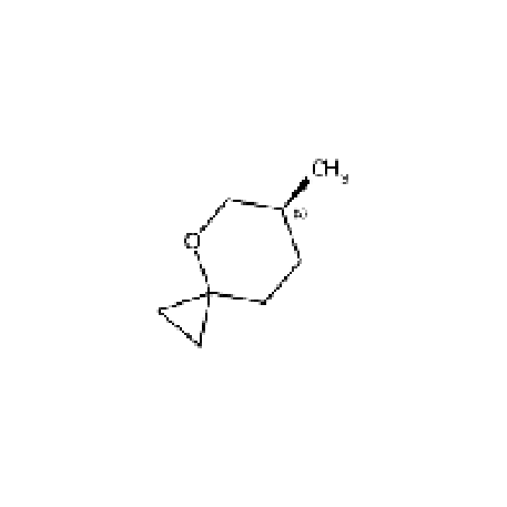 C[C@H]1CCC2(CC2)OC1